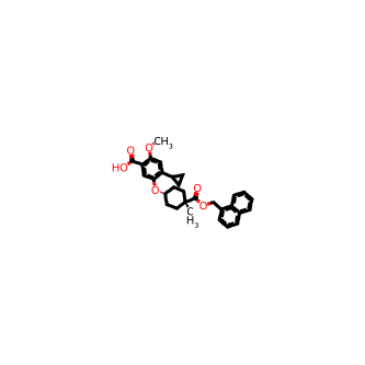 COc1cc(C2CC2)c(O[C@H]2CC[C@@](C)(C(=O)OCc3cccc4ccccc34)CC2)cc1C(=O)O